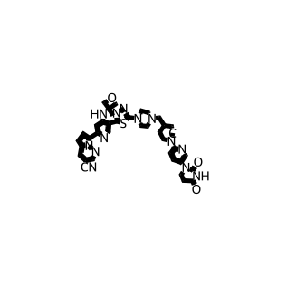 CC1(Nc2cc(-c3ccc4cc(C#N)cnn34)ncc2-c2nnc(N3CCN(CC4CCN(c5ccc(N6CCC(=O)NC6=O)cn5)CC4)CC3)s2)COC1